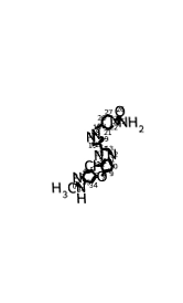 Cc1nc2ccc(Oc3ccc4ncc(-c5cnn(CC6CCN(C(N)=O)CC6)c5)nc4c3Cl)cc2[nH]1